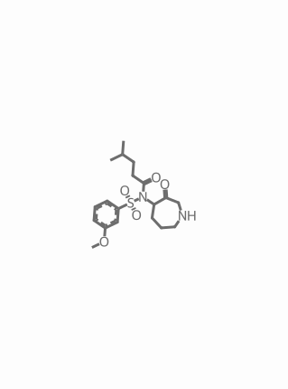 COc1cccc(S(=O)(=O)N(C(=O)CCC(C)C)C2CCCNCC2=O)c1